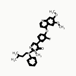 COc1cc2nccc(Oc3ccc(-c4cnc(N(CCC(C)C)c5ccccc5)n(C)c4=O)cc3F)c2cc1OC